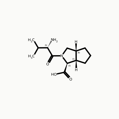 CC(C)[C@H](N)C(=O)N1C[C@@H]2CCC[C@@H]2[C@H]1C(=O)O